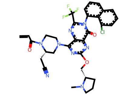 C=CC(=O)N1CCN(c2nc(OC[C@@H]3CCCN3C)nc3c(=O)n(-c4cccc5cccc(Cl)c45)c(C(F)(F)F)nc23)C[C@@H]1CC#N